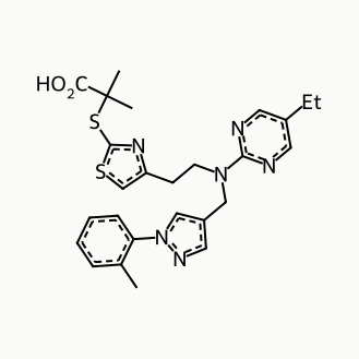 CCc1cnc(N(CCc2csc(SC(C)(C)C(=O)O)n2)Cc2cnn(-c3ccccc3C)c2)nc1